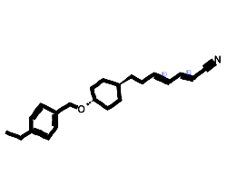 CCc1ccc(CO[C@H]2CC[C@H](CC/C=C/C=C/C#N)CC2)cc1